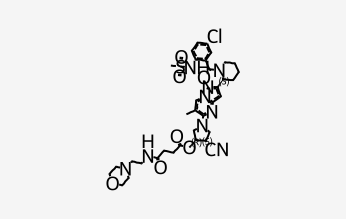 Cc1cn2nc([C@@H]3CCCCN3C(=O)c3cc(Cl)ccc3NS(C)(=O)=O)cc2nc1N1C[C@@H](C#N)[C@@H](OC(=O)CCC(=O)NCCN2CCOCC2)C1